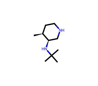 C[C@H]1CCNC[C@H]1NC(C)(C)C